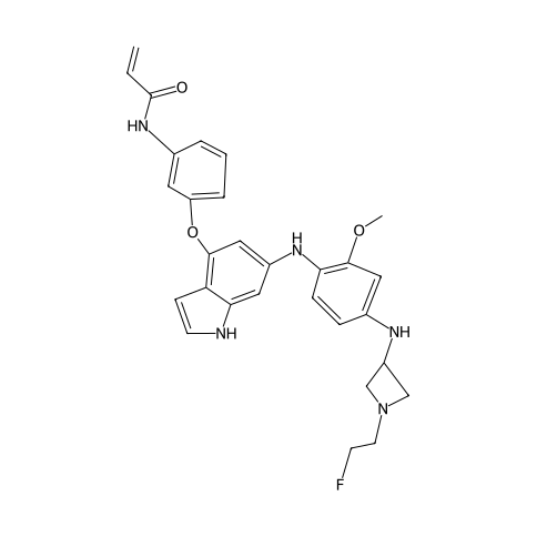 C=CC(=O)Nc1cccc(Oc2cc(Nc3ccc(NC4CN(CCF)C4)cc3OC)cc3[nH]ccc23)c1